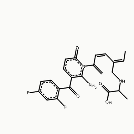 C=C(/C=C\C(=C/C)CNC(C)C(=O)O)n1c(N)c(C(=O)c2ccc(F)cc2F)ccc1=O